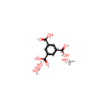 O=C(O)c1cc(C(=O)O)cc(C(=O)O)c1.[OH-].[OH-].[OH-].[OH-].[Zr+4]